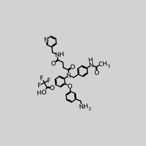 CC(=O)Nc1ccc(CN(C(=O)CCC(=O)NCc2cccnc2)c2ccccc2Oc2cccc(CN)c2)cc1.O=C(O)C(F)(F)F